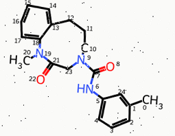 Cc1cccc(NC(=O)N2CCCc3ccccc3N(C)C(=O)C2)c1